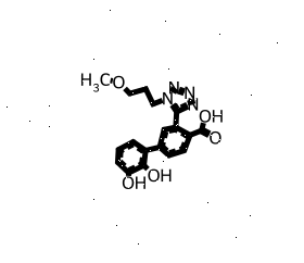 COCCCn1nnnc1-c1cc(-c2cccc(O)c2O)ccc1C(=O)O